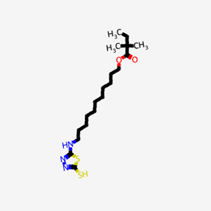 CCC(C)(C)C(=O)OCCCCCCCCCCCNc1nnc(S)s1